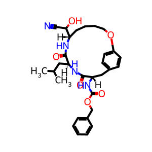 CC(C)C[C@@H]1NC(=O)[C@@H](NC(=O)OCc2ccccc2)Cc2ccc(cc2)OCCCC[C@@H](C(O)C#N)NC1=O